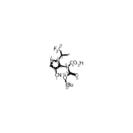 CC(n1ncc(C#N)c1N(C(=O)O)C(=O)OC(C)(C)C)C(F)(F)F